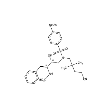 CC(=O)Nc1ccc(S(=O)(=O)N(C[C@@H](O)[C@H](Cc2ccccc2)NC(=O)O)CC(C)(C)CCC#N)cc1